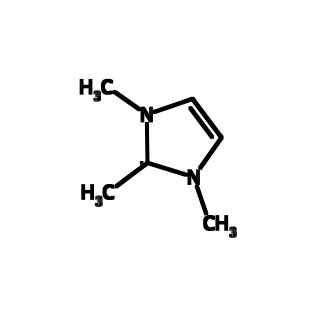 C[C]1N(C)C=CN1C